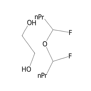 CCCC(F)OC(F)CCC.OCCO